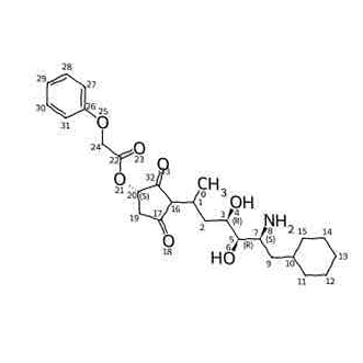 CC(C[C@@H](O)[C@H](O)[C@@H](N)CC1CCCCC1)C1C(=O)C[C@H](OC(=O)COc2ccccc2)C1=O